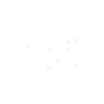 C=C1C[C@@H](c2nc3c(C)c(Cl)ccc3[nH]2)N(C(=O)c2cc(C)ccc2-n2nccn2)C1